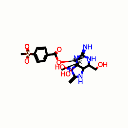 C=C1NC2C(CO)NC(=N)N3C[C@H](OC(=O)c4ccc(S(C)(=O)=O)cc4)[C@](C)(O)C23N1O